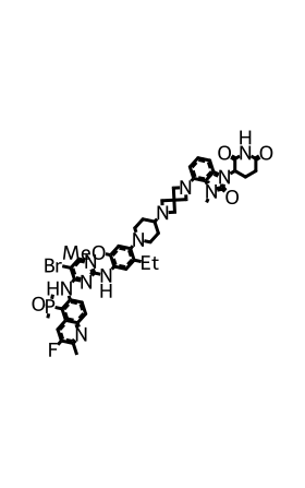 CCc1cc(Nc2ncc(Br)c(Nc3ccc4nc(C)c(F)cc4c3P(C)(C)=O)n2)c(OC)cc1N1CCC(N2CC3(CN(c4cccc5c4n(C)c(=O)n5C4CCC(=O)NC4=O)C3)C2)CC1